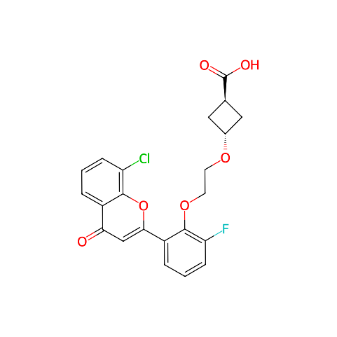 O=c1cc(-c2cccc(F)c2OCCO[C@H]2C[C@H](C(=O)O)C2)oc2c(Cl)cccc12